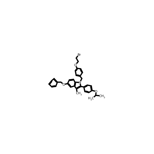 Cc1c(-c2ccc(OC(C)C)cc2)n(Cc2ccc(OCCBr)cc2)c2ccc(OCc3ccccc3)cc12